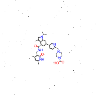 Cc1cc(C)c(CNC(=O)c2cc(-c3ccc(CN4CCN(C(=O)O)CC4)nc3)cc3c2c(C)cn3C(C)C)c(=O)[nH]1